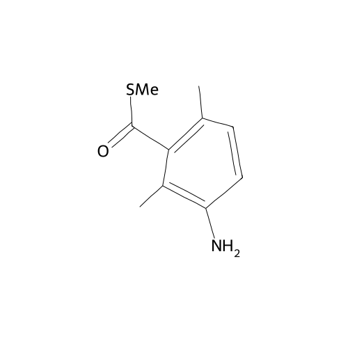 CSC(=O)c1c(C)ccc(N)c1C